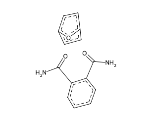 NC(=O)c1ccccc1C(N)=O.c1cc2ccc1o2